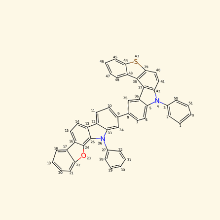 c1ccc(-n2c3ccc(-c4ccc5c6ccc7c8ccccc8oc7c6n(-c6ccccc6)c5c4)cc3c3c4c(ccc32)sc2ccccc24)cc1